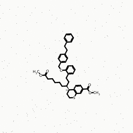 COC(=O)CCCCCC(CCc1ccccc1OCc1ccc(CCc2ccccc2)cc1)[C@@H]1CCSc2cc(C(=O)OC)ccc21